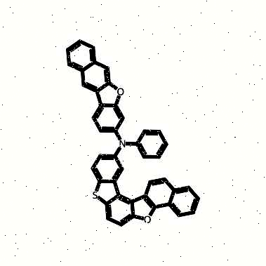 c1ccc(N(c2ccc3c(c2)oc2cc4ccccc4cc23)c2ccc3sc4ccc5oc6c7ccccc7ccc6c5c4c3c2)cc1